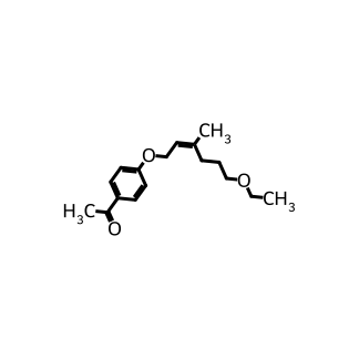 CCOCCCC(C)=CCOc1ccc(C(C)=O)cc1